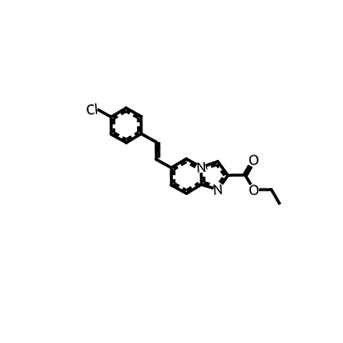 CCOC(=O)c1cn2cc(C=Cc3ccc(Cl)cc3)ccc2n1